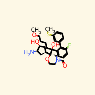 COCCCC[C@](O)(c1cccc(F)c1-c1cccc(SC)c1)[C@@]1([C@H]2C[C@@H](N)[C@@H](O)C2)CN(C=O)CCO1